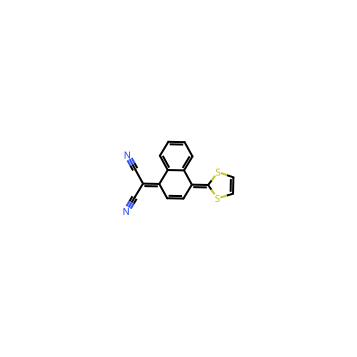 N#CC(C#N)=c1ccc(=C2SC=CS2)c2ccccc12